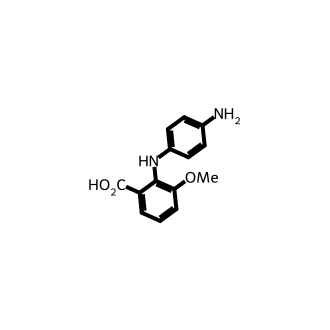 COc1cccc(C(=O)O)c1Nc1ccc(N)cc1